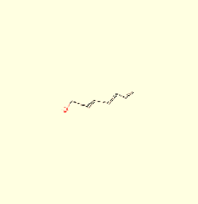 C=CC=CC=CC[O]